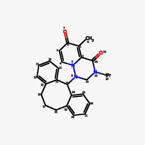 Cc1c2n(ccc1=O)N(C1c3ccccc3CCCc3ccccc31)CN(C(C)C)C2=O